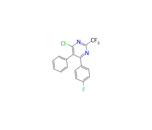 Fc1ccc(-c2nc(C(F)(F)F)nc(Cl)c2-c2ccccc2)cc1